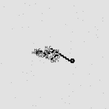 CC(C)C[C@H](NC(=O)CN(CCCCCCCCc1ccccc1)C(=O)CCOC(C)(C)CO)C(=O)NCC(=O)N[C@@H](CO)C(=O)NC[C@@H](C)OP(=O)(O)O